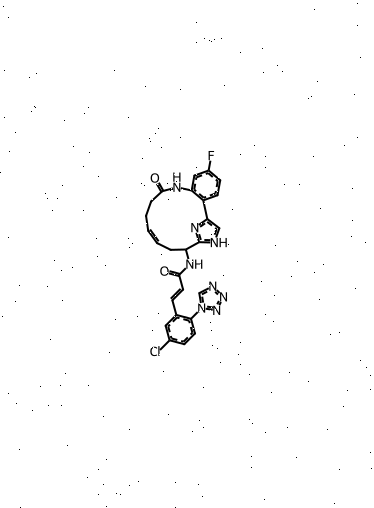 O=C(C=Cc1cc(Cl)ccc1-n1cnnn1)NC1CC=CCCC(=O)Nc2cc(F)ccc2-c2c[nH]c1n2